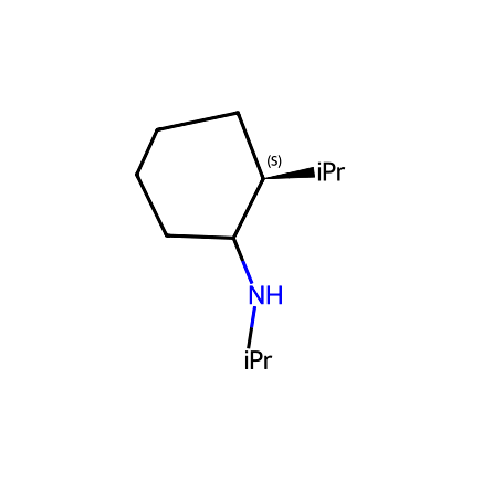 CC(C)NC1CCCC[C@H]1C(C)C